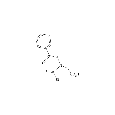 CCC(=O)N(CC(=O)O)SC(=O)c1ccccc1